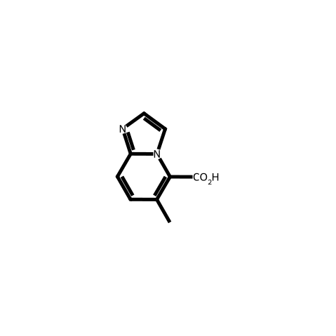 Cc1ccc2nccn2c1C(=O)O